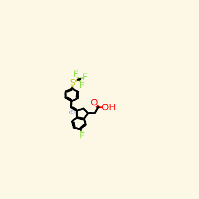 O=C(O)CC1C/C(=C\c2ccc(SC(F)(F)F)cc2)c2ccc(F)cc21